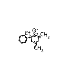 CC[C@@]1(c2ccccc2)CN(C)C[C@@H](C)[S@@+]1[O-]